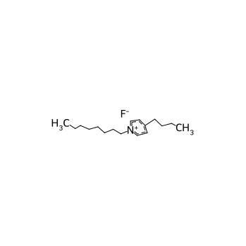 CCCCCCCC[n+]1ccc(CCCC)cc1.[F-]